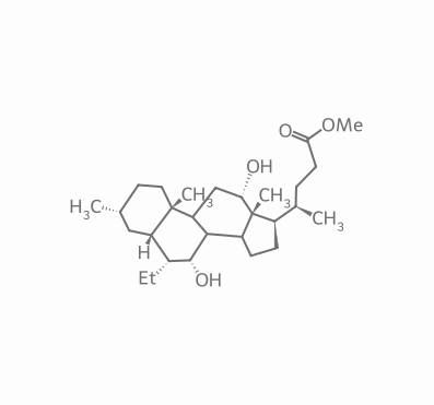 CC[C@H]1[C@@H](O)C2C3CC[C@H]([C@H](C)CCC(=O)OC)[C@@]3(C)[C@@H](O)CC2[C@@]2(C)CC[C@@H](C)C[C@@H]12